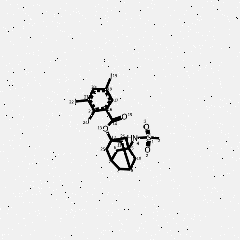 CS(=O)(=O)NC12CC3CC(C1)CC(OC(=O)c1cc(I)cc(I)c1I)(C3)C2